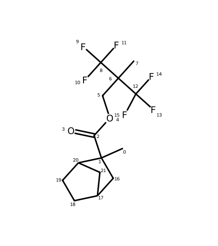 CC1(C(=O)OCC(C)(C(F)(F)F)C(F)(F)F)CC2CCC1C2